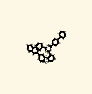 c1ccc(-c2ccc(-c3nc(-c4ccccc4)nc(-c4cccc5oc6ccc(-c7ccc8ccccc8c7)cc6c45)n3)cc2)cc1